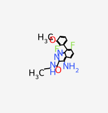 CCCNC(=O)c1nnc2c(-c3cccc(OC)c3F)c(F)ccc2c1N